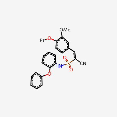 CCOc1ccc(C=C(C#N)S(=O)(=O)Nc2ccccc2Oc2ccccc2)cc1OC